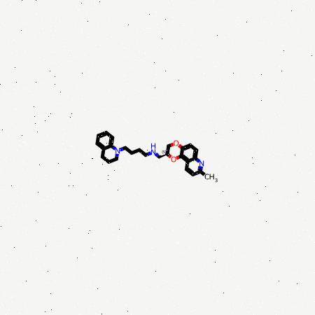 Cc1ccc2c3c(ccc2n1)OC[C@H](CNCCCCN1CCCc2ccccc21)O3